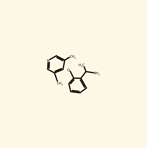 BC(C)c1ccccc1Cl.Cc1cncc(C)c1